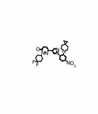 O=c1ccc(-c2cnn(-c3ccc([N+](=O)[O-])cc3N3CCC4(CC3)CC4)c2)nn1C1CCC(F)(F)CC1